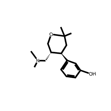 CN(C)C[C@@H]1COC(C)(C)C[C@H]1c1cccc(O)c1